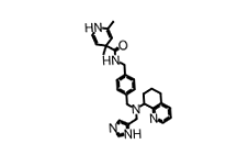 CC1=CC(C)(C(=O)NCc2ccc(CN(Cc3cnc[nH]3)C3CCCc4cccnc43)cc2)C=CN1